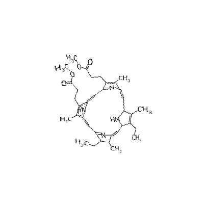 CCC1=C(C)C2C=C3N=C(C=c4[nH]c(c(C)c4CCC(=O)OC)=CC4=NC(=CC1N2)C(C)C4CC)C(CCC(=O)OC)=C3C